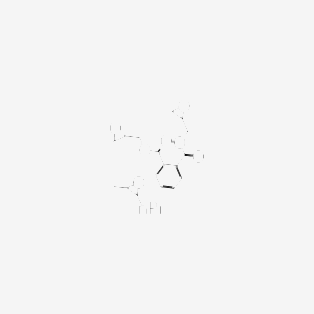 CCCC1OC1C.O=C(OCC1CO1)c1ccccc1C(=O)OCC1CO1